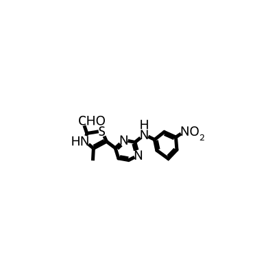 CC1=C(c2ccnc(Nc3cccc([N+](=O)[O-])c3)n2)SC(C=O)N1